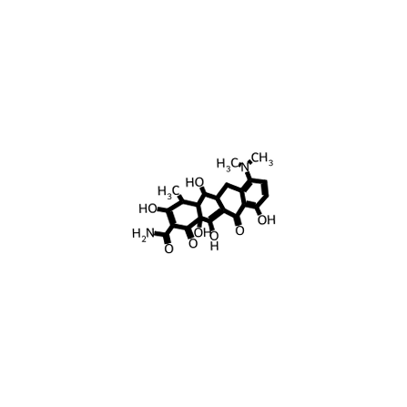 CC1C(O)=C(C(N)=O)C(=O)C2(O)C(O)=C3C(=O)c4c(O)ccc(N(C)C)c4CC3C(O)C12